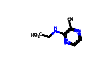 N#Cc1nccnc1NCC(=O)O